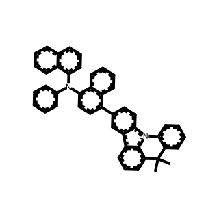 CC1(C)c2ccccc2-n2c3ccc(-c4ccc(N(c5ccccc5)c5cccc6ccccc56)c5ccccc45)cc3c3cccc1c32